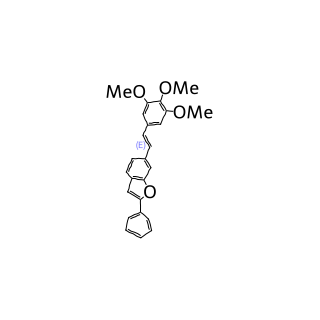 COc1cc(/C=C/c2ccc3cc(-c4ccccc4)oc3c2)cc(OC)c1OC